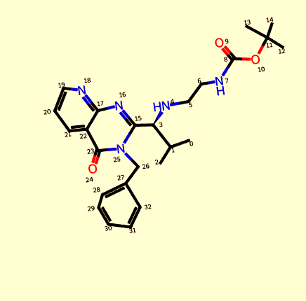 CC(C)[C@H](NCCNC(=O)OC(C)(C)C)c1nc2ncccc2c(=O)n1Cc1ccccc1